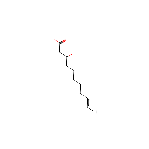 CC=CCCCCCC(O)CC(=O)O